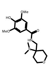 COc1cc(C(=O)NCC2(N(C)C)CCOCC2)cc(OC)c1O